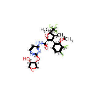 COc1c([C@H]2[C@H](C(=O)Nc3ccnc(O[C@H]4COC[C@H]4O)n3)O[C@@](C)(C(F)(F)F)[C@H]2C)ccc(F)c1F